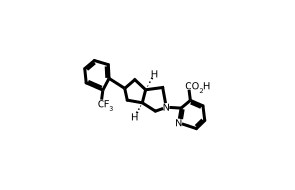 O=C(O)c1cccnc1N1C[C@H]2CC(c3ccccc3C(F)(F)F)C[C@H]2C1